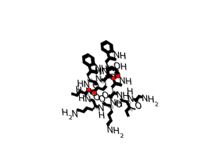 CC[C@H](C)[C@H](NC(=O)CN)C(=O)N[C@@H](Cc1c[nH]c2ccccc12)C(=O)N[C@@H](CCCCN)C(=O)N[C@@H](CCCCN)C(=O)N[C@H](C(=O)N[C@@H](Cc1c[nH]c2ccccc12)C(=O)N[C@@H](CCCCN)C(=O)N[C@@H](Cc1c[nH]c2ccccc12)C(=O)O)[C@@H](C)CC